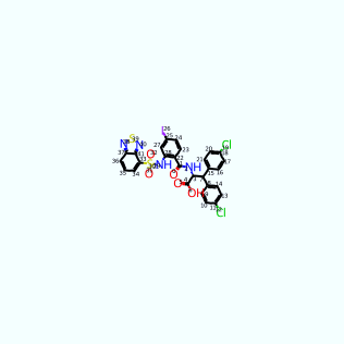 O=C(N[C@H](C(=O)O)C(c1ccc(Cl)cc1)c1ccc(Cl)cc1)c1ccc(I)cc1NS(=O)(=O)c1cccc2nsnc12